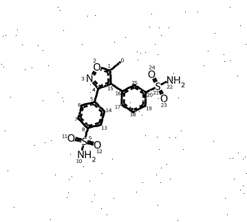 Cc1onc(-c2ccc(S(N)(=O)=O)cc2)c1-c1cccc(S(N)(=O)=O)c1